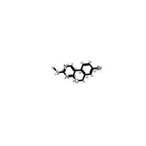 CSc1ncc2c(n1)OCc1cc(Br)ccc1-2